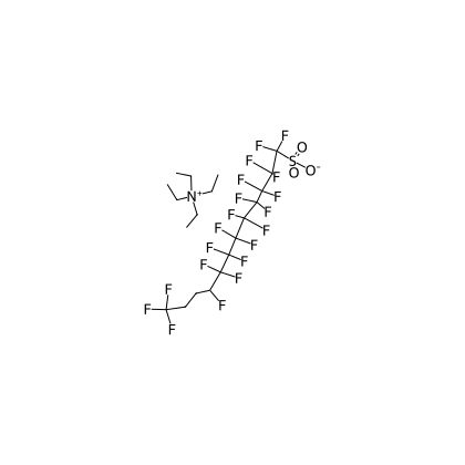 CC[N+](CC)(CC)CC.O=S(=O)([O-])C(F)(F)C(F)(F)C(F)(F)C(F)(F)C(F)(F)C(F)(F)C(F)(F)C(F)(F)C(F)CCC(F)(F)F